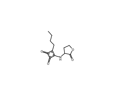 CCCCc1c(NC2CCOC2=O)c(=O)c1=O